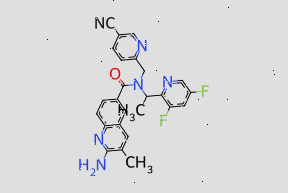 Cc1cc2cc(C(=O)N(Cc3ccc(C#N)cn3)C(C)c3ncc(F)cc3F)ccc2nc1N